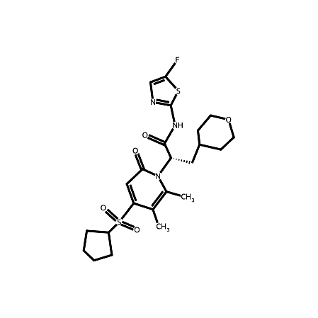 Cc1c(S(=O)(=O)C2CCCC2)cc(=O)n([C@@H](CC2CCOCC2)C(=O)Nc2ncc(F)s2)c1C